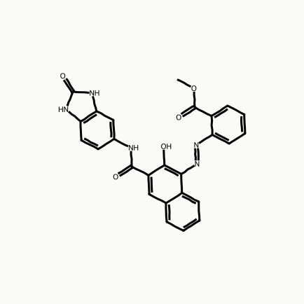 COC(=O)c1ccccc1N=Nc1c(O)c(C(=O)Nc2ccc3[nH]c(=O)[nH]c3c2)cc2ccccc12